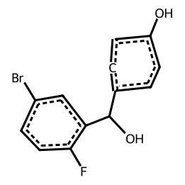 Oc1ccc(C(O)c2cc(Br)ccc2F)cc1